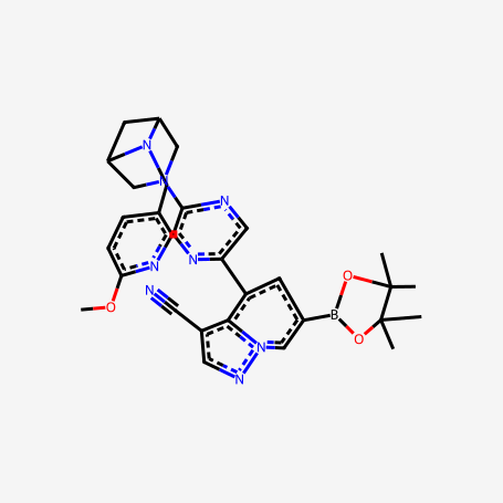 COc1ccc(CN2C3CC2CN(c2cnc(-c4cc(B5OC(C)(C)C(C)(C)O5)cn5ncc(C#N)c45)cn2)C3)cn1